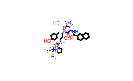 CC(C)(C)N1CCC[C@H]1C(=O)NC[C@@H](O)[C@H](Cc1ccc(O)cc1)NC(=O)[C@H](CC(N)=O)NC(=O)c1ccc2ccccc2c1.Cl